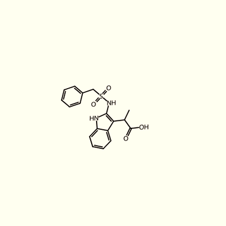 CC(C(=O)O)c1c(NS(=O)(=O)Cc2ccccc2)[nH]c2ccccc12